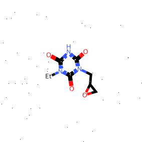 CCn1c(=O)[nH]c(=O)n(CC2CO2)c1=O